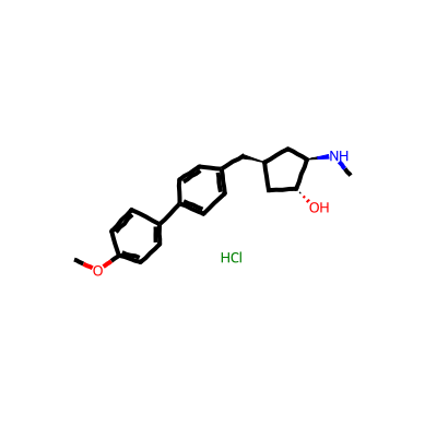 CN[C@@H]1C[C@H](Cc2ccc(-c3ccc(OC)cc3)cc2)C[C@H]1O.Cl